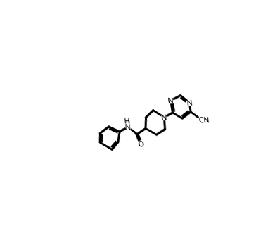 N#Cc1cc(N2CCC(C(=O)Nc3ccccc3)CC2)ncn1